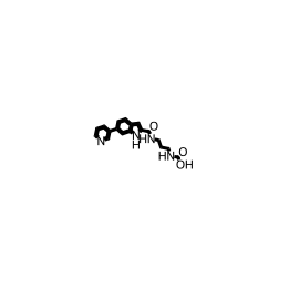 O=C(O)NCCCNC(=O)c1cc2ccc(-c3cccnc3)cc2[nH]1